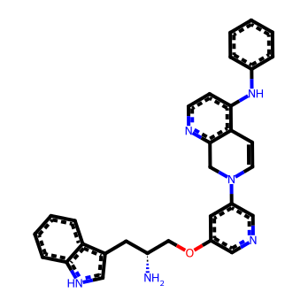 N[C@@H](COc1cncc(N2C=Cc3c(Nc4ccccc4)ccnc3C2)c1)Cc1c[nH]c2ccccc12